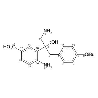 CC(C)COc1ccc(CC(O)(CN)c2cc(C(=O)O)ccc2N)cc1